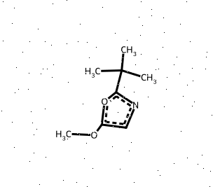 COc1cnc(C(C)(C)C)o1